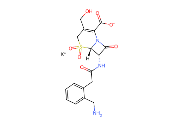 NCc1ccccc1CC(=O)N[C@H]1C(=O)N2C(C(=O)[O-])=C(CO)CS(=O)(=O)[C@@H]12.[K+]